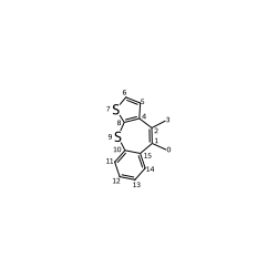 CC1=C(C)c2ccsc2Sc2ccccc21